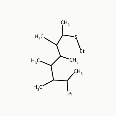 CCSC(C)C(C)C(C)C(C)C(C)C(C)C(C)C